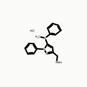 CNCc1cc(N(C)c2ccccc2)n(-c2ccccc2)n1.Cl